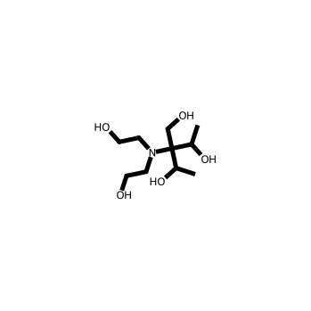 CC(O)C(CO)(C(C)O)N(CCO)CCO